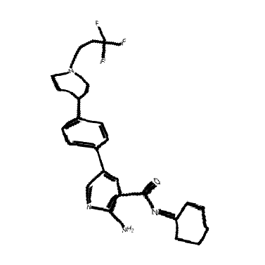 Nc1ncc(-c2ccc(C3CCN(CC(F)(F)F)C3)cc2)cc1C(=O)N=C1CCCCC1